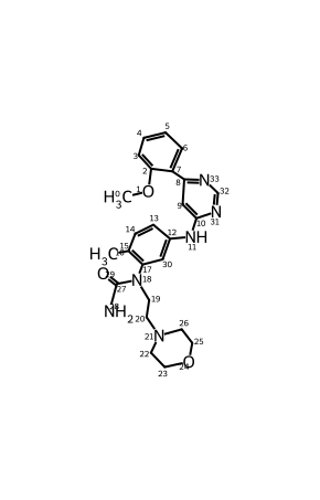 COc1ccccc1-c1cc(Nc2ccc(C)c(N(CCN3CCOCC3)C(N)=O)c2)ncn1